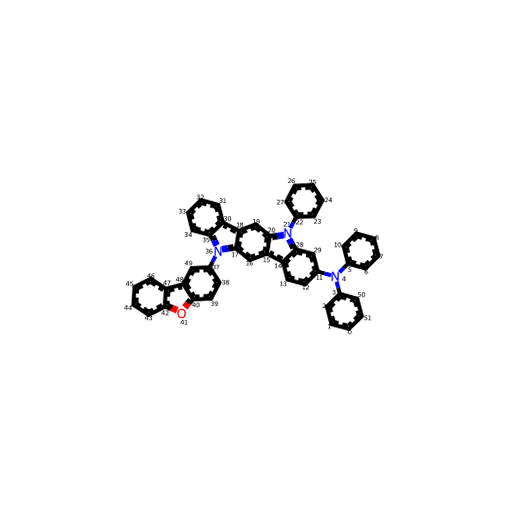 c1ccc(N(c2ccccc2)c2ccc3c4cc5c(cc4n(-c4ccccc4)c3c2)c2ccccc2n5-c2ccc3oc4ccccc4c3c2)cc1